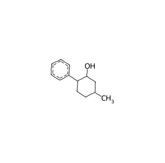 CC1CCC(c2ccccc2)C(O)C1